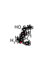 C=C(C)[C@@H]1CC[C@]2(NCCN3CCS(=O)(=O)CC3)CC[C@]3(C)[C@H](CC[C@@H]4[C@@]5(C)CC=C(C6=CCC(COc7nsc(=O)[nH]7)(C(=O)O)CC6)C(C)(C)[C@@H]5CC[C@]43C)[C@@H]12